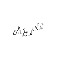 CCC(CNc1ncc(C)n(CC(=O)NCC2CNC(=N)NO2)c1=O)c1ccccc1